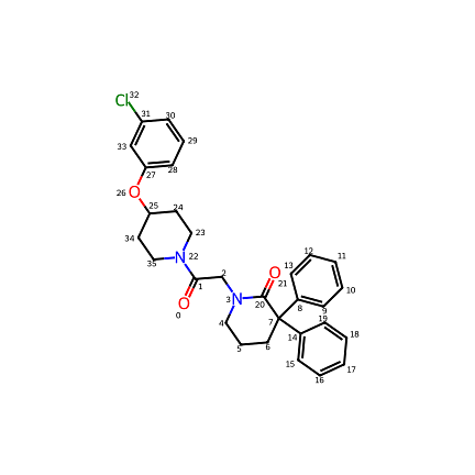 O=C(CN1CCCC(c2ccccc2)(c2ccccc2)C1=O)N1CCC(Oc2cccc(Cl)c2)CC1